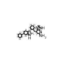 Nc1cc([C@H](Cc2nc3ccc(-c4ccccc4)cc3[nH]2)c2ccccc2)c2nn[nH]c2n1